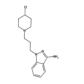 Nc1nn(CCCN2CCC(Cl)CC2)c2ccccc12